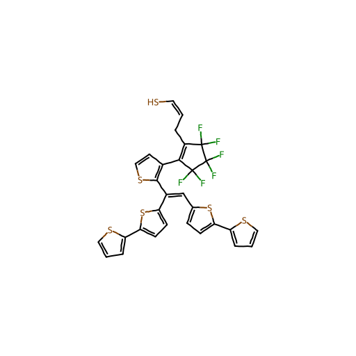 FC1(F)C(C/C=C\S)=C(c2ccsc2/C(=C/c2ccc(-c3cccs3)s2)c2ccc(-c3cccs3)s2)C(F)(F)C1(F)F